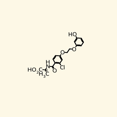 C[C@H](NC(=O)c1ccc(OCCOc2cccc(O)c2)cc1Cl)C(=O)O